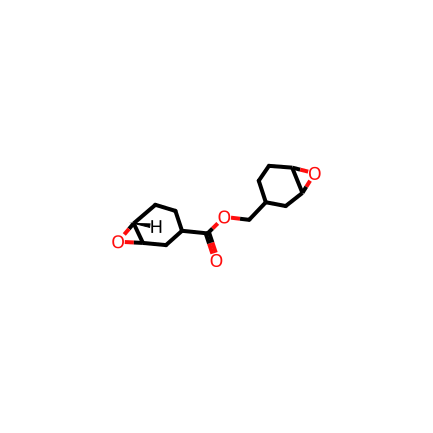 O=C(OCC1CCC2OC2C1)C1CC[C@H]2OC2C1